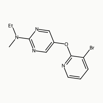 CCN(C)c1ncc(Oc2ncccc2Br)cn1